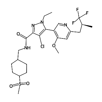 CCn1nc(C(=O)NCC2CCC(S(C)(=O)=O)CC2)c(Cl)c1-c1cnc(C[C@H](C)C(F)(F)F)cc1OC